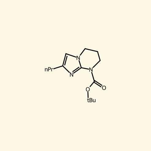 CCCc1cn2c(n1)N(C(=O)OC(C)(C)C)CCC2